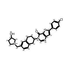 O=c1c2sc(-c3ccc(Cl)cc3)cc2ncn1C1CCc2cc(CN3CCC(O)C3)ccc2C1